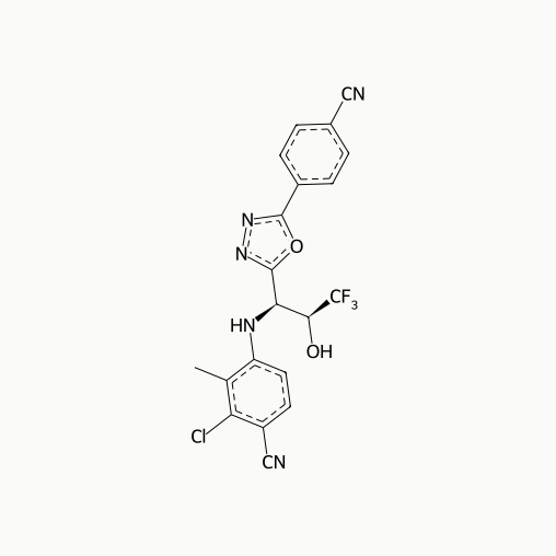 Cc1c(N[C@@H](c2nnc(-c3ccc(C#N)cc3)o2)[C@H](O)C(F)(F)F)ccc(C#N)c1Cl